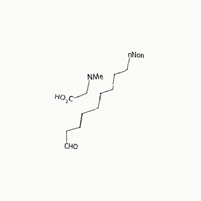 CCCCCCCCCCCCCCCCCC=O.CNCC(=O)O